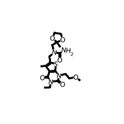 CCn1c(=O)c2c(C)c(CN(CC3(C)OCCO3)C(N)=O)sc2n(CCOC)c1=O